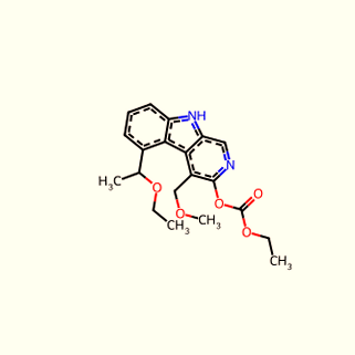 CCOC(=O)Oc1ncc2[nH]c3cccc(C(C)OCC)c3c2c1COC